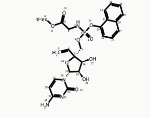 C=C[C@]1(COP(=O)(NCC(=O)OCCCCCC)Oc2cccc3ccccc23)O[C@@H](n2ccc(N)nc2=O)[C@H](O)[C@@H]1O